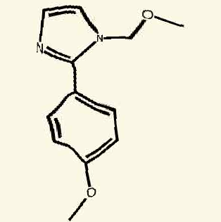 COCn1ccnc1-c1ccc(OC)cc1